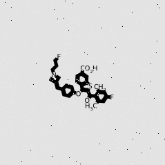 Cc1cc(F)cc(C)c1C(=O)c1sc2cc(C(=O)O)ccc2c1Oc1ccc(C=C2CN(CCCF)C2)cc1